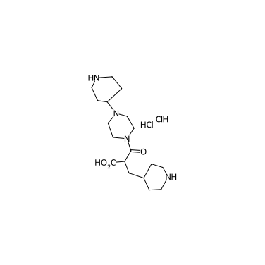 Cl.Cl.O=C(O)C(CC1CCNCC1)C(=O)N1CCN(C2CCNCC2)CC1